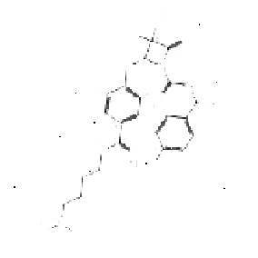 CCC[C@@H](NC(=O)N1C(=O)C(CC)(CC)[C@@H]1Oc1ccc(C(=O)OCCCCN(C)C)cc1)c1ccc(C)cc1